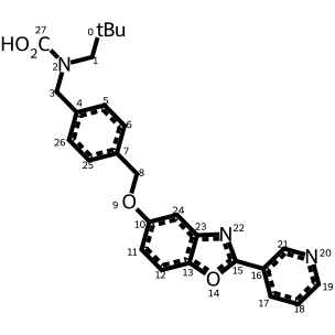 CC(C)(C)CN(Cc1ccc(COc2ccc3oc(-c4cccnc4)nc3c2)cc1)C(=O)O